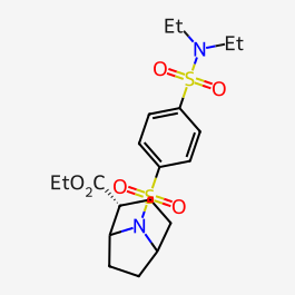 CCOC(=O)[C@@H]1CCC2CCC1N2S(=O)(=O)c1ccc(S(=O)(=O)N(CC)CC)cc1